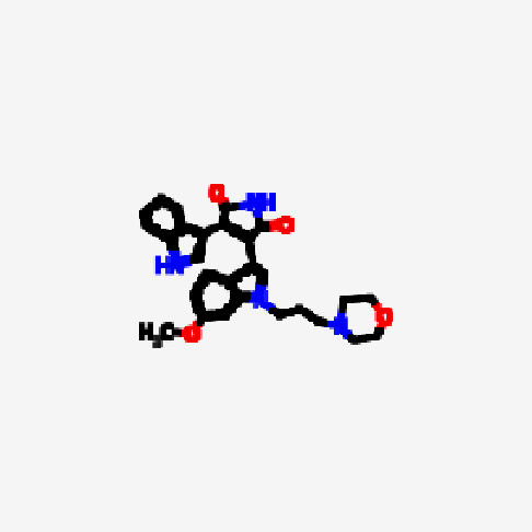 COc1ccc2c(C3=C(c4c[nH]c5ccccc45)C(=O)NC3=O)cn(CCCN3CCOCC3)c2c1